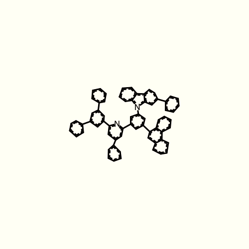 c1ccc(-c2cc(-c3ccccc3)cc(-c3cc(-c4ccccc4)cc(-c4cc(-c5cc6ccccc6c6ccccc56)cc(-n5c6ccccc6c6ccc(-c7ccccc7)cc65)c4)n3)c2)cc1